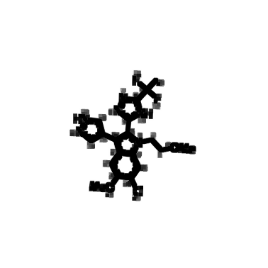 COCCn1c(-c2nnc(C(C)(F)F)[nH]2)c(-c2cn[nH]c2)c2cc(OC)c(Cl)cc21